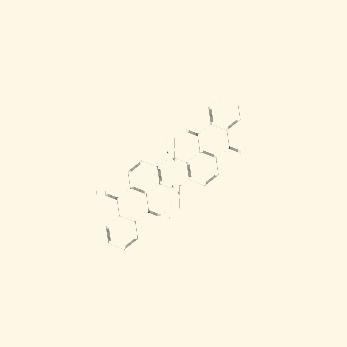 C/C=c1/c(=O)c2ccc3[nH]c4c5c(ccc4[nH]c3c2c(=O)/c1=C/C)C(=O)C1C=CC=CC1C5=O